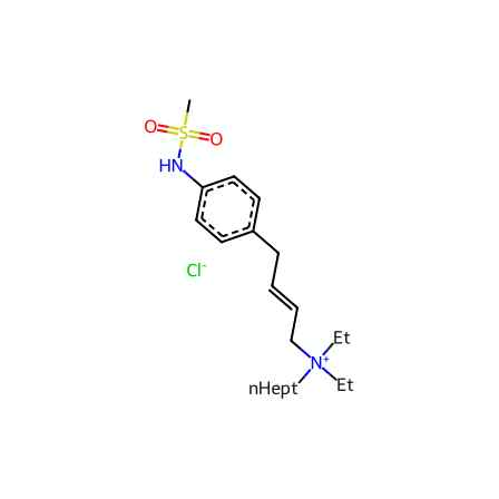 CCCCCCC[N+](CC)(CC)C/C=C/Cc1ccc(NS(C)(=O)=O)cc1.[Cl-]